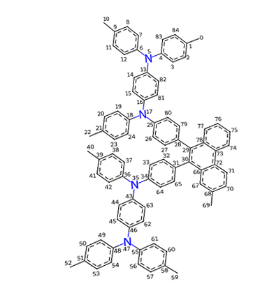 Cc1ccc(N(c2ccc(C)cc2)c2ccc(N(c3ccc(C)cc3)c3ccc(-c4c(-c5ccc(N(c6ccc(C)cc6)c6ccc(N(c7ccc(C)cc7)c7ccc(C)cc7)cc6)cc5)c5cc(C)ccc5c5ccccc45)cc3)cc2)cc1